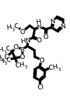 COCC(NC(=O)c1cnccn1)C(=O)NC(CCOc1ccc(Cl)cc1C)B1OC(C)(C)C(C)(C)O1